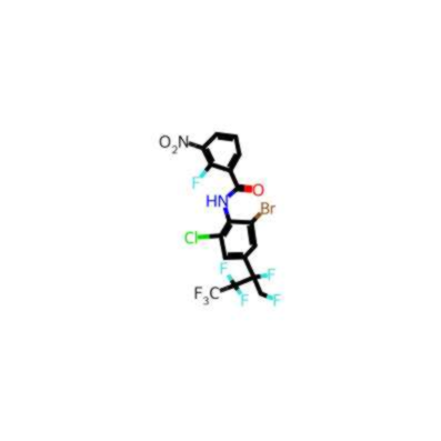 O=C(Nc1c(Cl)cc(C(F)(CF)C(F)(F)C(F)(F)F)cc1Br)c1cccc([N+](=O)[O-])c1F